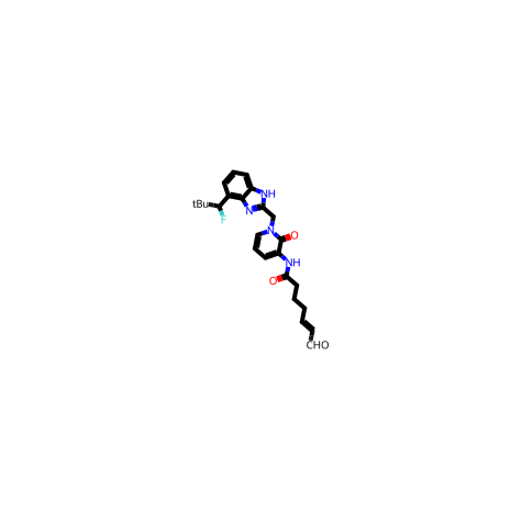 CC(C)(C)C(F)c1cccc2[nH]c(Cn3cccc(NC(=O)CCC/C=C/C=O)c3=O)nc12